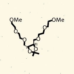 COCCOCCOC[C@H]1OC(C)(C)O[C@@H]1COCCOCCOC